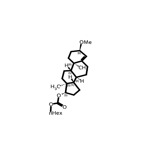 CCCCCCOC(=O)O[C@H]1CC[C@H]2[C@@H]3CCC4=C[C@H](OC)CC[C@]4(C)[C@H]3CC[C@]12C